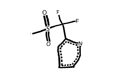 [CH2]S(=O)(=O)C(F)(F)c1ccccn1